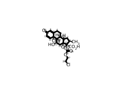 C[C@@H]1C[C@H]2[C@@H]3CCC4=CC(=O)C=C[C@]4(C)[C@@]3(F)[C@@H](O)C[C@]2(C)[C@@]1(OC(=O)OCCCl)C(=O)O